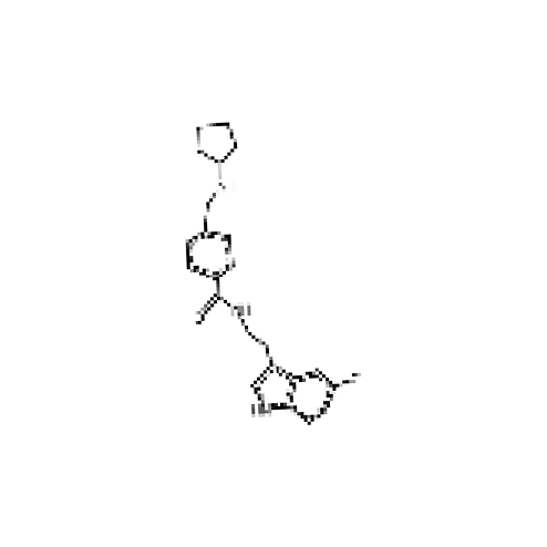 O=C(NCCc1c[nH]c2ccc(Cl)cc12)c1ccc(CNC2CCCC2)cc1